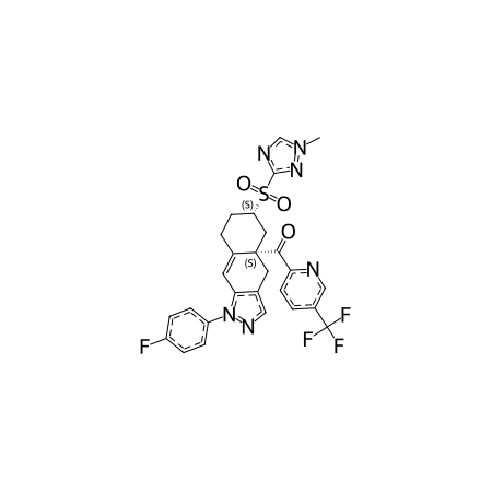 Cn1cnc(S(=O)(=O)[C@H]2CCC3=Cc4c(cnn4-c4ccc(F)cc4)C[C@]3(C(=O)c3ccc(C(F)(F)F)cn3)C2)n1